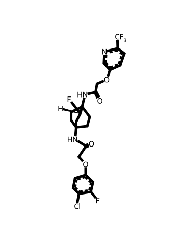 O=C(COc1ccc(Cl)c(F)c1)NC12CCC(NC(=O)COc3ccc(C(F)(F)F)nc3)(CC1)[C@@H](F)C2